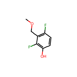 COCc1c(F)ccc(O)c1F